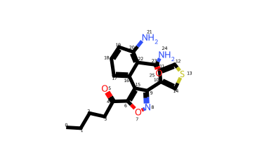 CCCCC(=O)c1onc(-c2ccsc2)c1-c1cccc(N)c1C(N)=O